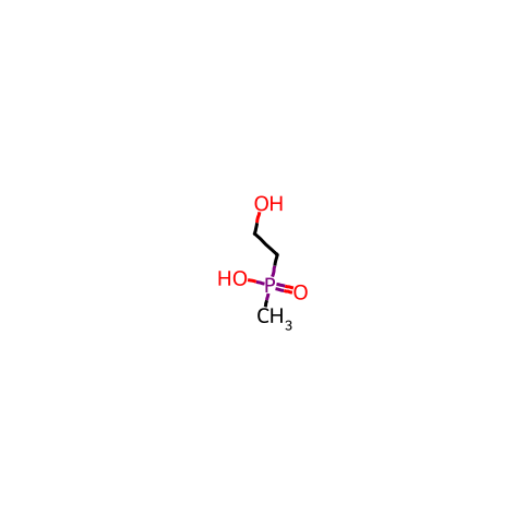 CP(=O)(O)CCO